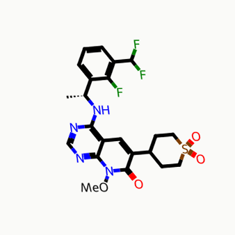 COn1c(=O)c(C2CCS(=O)(=O)CC2)cc2c(N[C@H](C)c3cccc(C(F)F)c3F)ncnc21